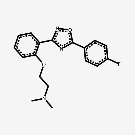 CN(C)CCOc1ccccc1-c1noc(-c2ccc(F)cc2)n1